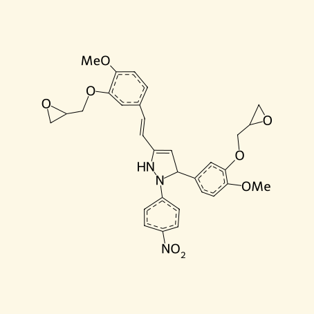 COc1ccc(C=CC2=CC(c3ccc(OC)c(OCC4CO4)c3)N(c3ccc([N+](=O)[O-])cc3)N2)cc1OCC1CO1